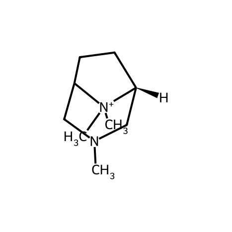 CN1CC2CC[C@H](C1)[N+]2(C)C